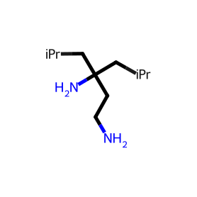 CC(C)CC(N)(CCN)CC(C)C